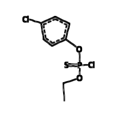 CCOP(=S)(Cl)Oc1ccc(Cl)cc1